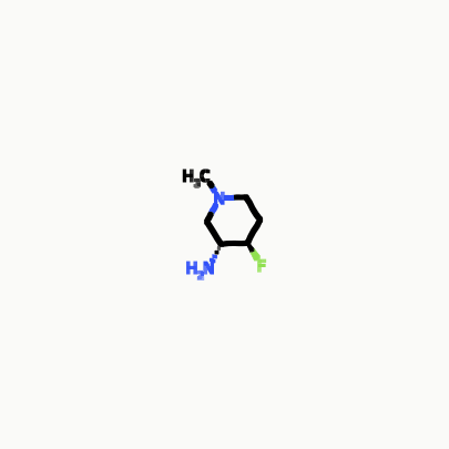 CN1CC[C@@H](F)[C@H](N)C1